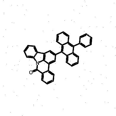 O=c1c2ccccc2c2cc(-c3c4ccccc4c(-c4ccccc4)c4ccccc34)cc3c4ccccc4n1c23